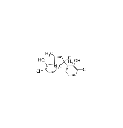 C/C(=C/C(C)(C)c1cccc(Cl)c1O)c1cccc(Cl)c1O